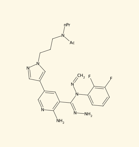 C=NN(/C(=N\N)c1cc(-c2cnn(CCCN(CCC)C(C)=O)c2)cnc1N)c1cccc(F)c1F